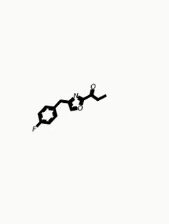 CCC(=O)c1nc(Cc2ccc(F)cc2)co1